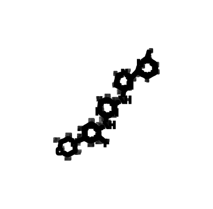 Cc1cccc(-c2nccc(Nc3ccnc(Nc4ccc(N5CCOCC5)cc4F)n3)n2)n1